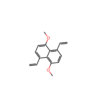 C=Cc1ccc(OC)c2c(C=C)ccc(OC)c12